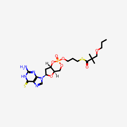 CCCOCC(C)(C)C(=O)SCCCOP1(=O)OC[C@H]2O[C@@H](n3cnc4c(=S)[nH]c(N)nc43)C[C@@H]2O1